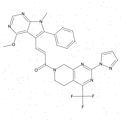 COc1ncnc2c1c(/C=C/C(=O)N1CCc3c(nc(-n4cccn4)nc3C(F)(F)F)C1)c(-c1ccccc1)n2C